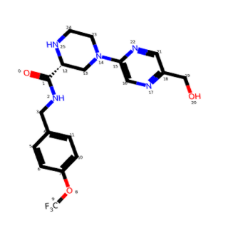 O=C(NCc1ccc(OC(F)(F)F)cc1)[C@H]1CN(c2cnc(CO)cn2)CCN1